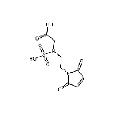 O=C(O)CN(CCN1C(=O)C=CC1=O)S(=O)(=O)O